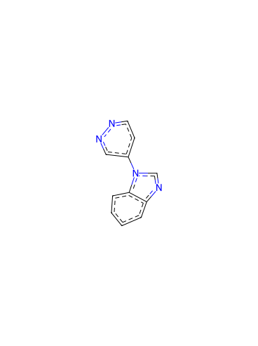 c1ccc2c(c1)ncn2-c1ccnnc1